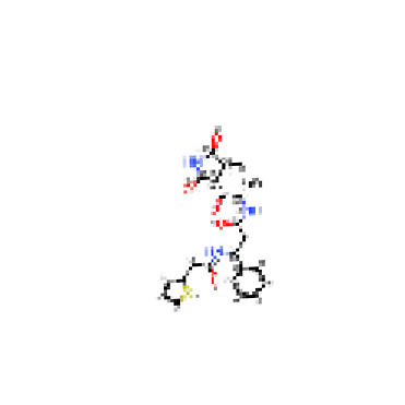 CC(C)[C@H](NC(=O)C[C@H](NC(=O)Cc1cccs1)c1ccccc1)C(=O)[C@@H]1C(=O)NC(=O)[C@H]1C